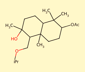 CC(=O)OC1CCC2(C)C(COC(C)C)C(C)(O)CCC2C1(C)C